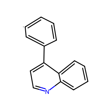 [c]1cccc(-c2ccnc3ccccc23)c1